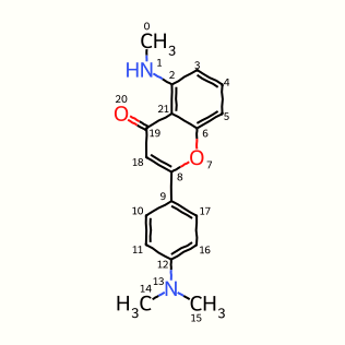 CNc1cccc2oc(-c3ccc(N(C)C)cc3)cc(=O)c12